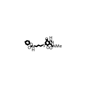 CNC(=O)c1n[nH]c2c1C(=O)C(SCCCCCNC(=O)Oc1ccccc1)=CC2=O